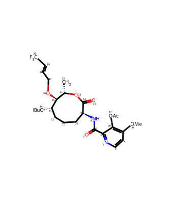 COc1ccnc(C(=O)N[C@H]2CCC[C@H](OCC(C)C)[C@@H](OC/C=C/C(F)(F)F)[C@H](C)OC2=O)c1OC(C)=O